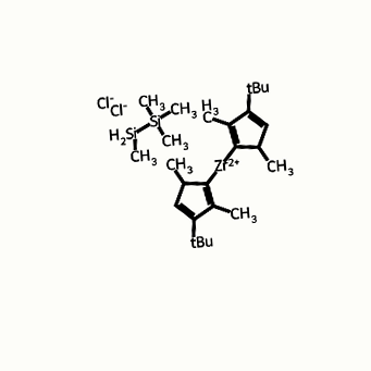 CC1=[C]([Zr+2][C]2=C(C)C(C(C)(C)C)=CC2C)C(C)C=C1C(C)(C)C.C[SiH2][Si](C)(C)C.[Cl-].[Cl-]